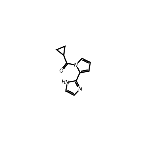 O=C(C1CC1)n1cccc1-c1ncc[nH]1